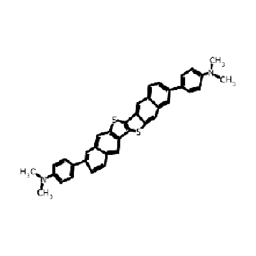 CN(C)c1ccc(-c2ccc3cc4c(cc3c2)sc2c3cc5ccc(-c6ccc(N(C)C)cc6)cc5cc3sc42)cc1